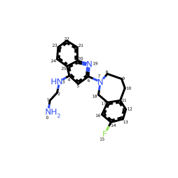 NCCNc1cc(N2CCCc3ccc(F)cc3C2)nc2ccccc12